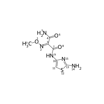 CON=C(C(N)=O)C(=O)Nc1csc(N)n1